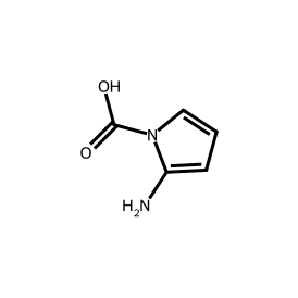 Nc1cccn1C(=O)O